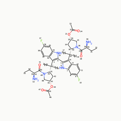 [2H]C([2H])(c1c(-c2[nH]c3cc(F)ccc3c2C([2H])([2H])[C@@H]2C[C@H](OC(C)=O)CN2C(=O)[C@@H](N)CC)[nH]c2cc(F)ccc12)[C@@H]1C[C@H](OC(C)=O)CN1C(=O)[C@@H](N)CC